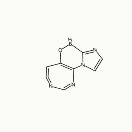 B1OC2=C(N=CN=C=C2)n2ccnc21